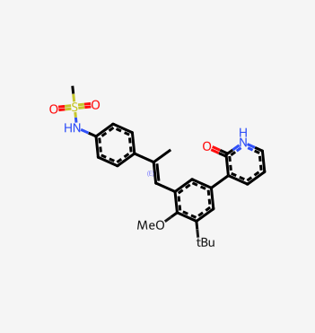 COc1c(/C=C(\C)c2ccc(NS(C)(=O)=O)cc2)cc(-c2ccc[nH]c2=O)cc1C(C)(C)C